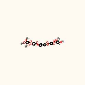 Cc1cc(C(=O)Oc2ccc(C(=O)Oc3ccc(-c4ccc(OC(=O)c5ccc(OC(=O)c6cc(OC(C)C)c(OC(C)C)cc6OC(C)C)cc5)cc4)cc3)cc2)c(OC(C)C)cc1OC(C)C